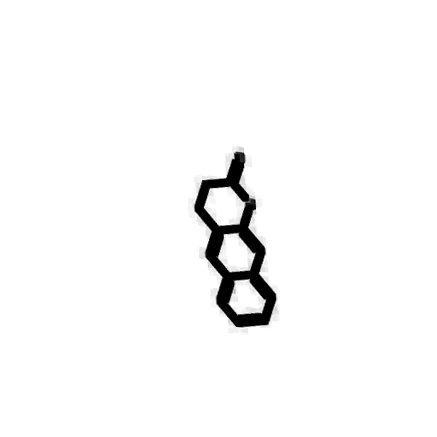 O=C1CCc2cc3ccccc3cc2O1